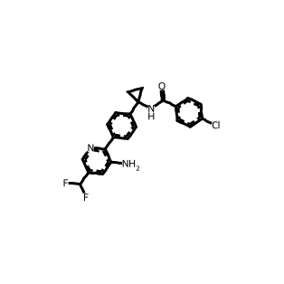 Nc1cc(C(F)F)cnc1-c1ccc(C2(NC(=O)c3ccc(Cl)cc3)CC2)cc1